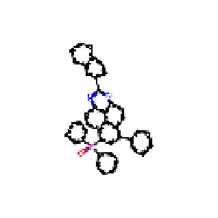 O=P(c1ccccc1)(c1ccccc1)c1cc(-c2ccccc2)c2ccc3nc(-c4ccc5ccccc5c4)nc4ccc1c2c34